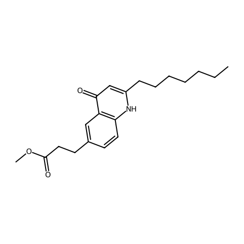 CCCCCCCc1cc(=O)c2cc(CCC(=O)OC)ccc2[nH]1